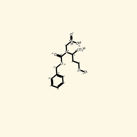 CCOCCC(C(=O)O)N(C[PH](=O)O)C(=O)OCc1ccccc1